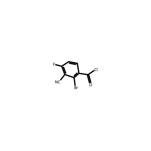 N#Cc1c(F)ccc(C(=O)Cl)c1Br